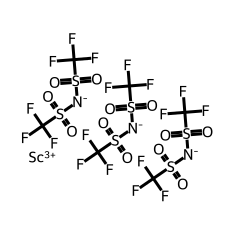 O=S(=O)([N-]S(=O)(=O)C(F)(F)F)C(F)(F)F.O=S(=O)([N-]S(=O)(=O)C(F)(F)F)C(F)(F)F.O=S(=O)([N-]S(=O)(=O)C(F)(F)F)C(F)(F)F.[Sc+3]